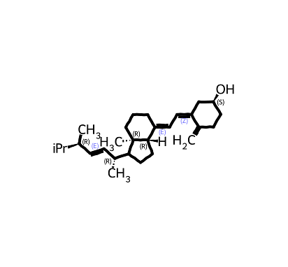 C=C1CC[C@H](O)C/C1=C/C=C1\CCC[C@]2(C)C([C@H](C)/C=C/[C@H](C)C(C)C)CC[C@@H]12